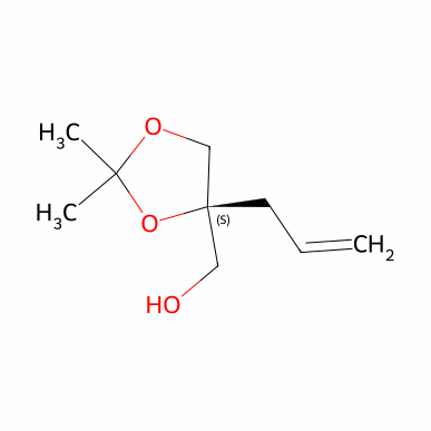 C=CC[C@]1(CO)COC(C)(C)O1